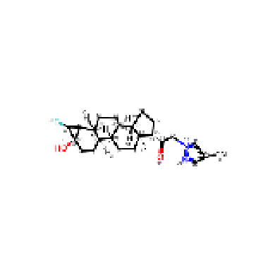 C[C@]12CC[C@@H]3[C@H]4CC[C@]5(O)C(F)C5[C@@H]4CC[C@H]3[C@@H]1CC[C@@H]2C(=O)Cn1cc(C#N)cn1